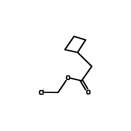 O=C(CC1CCC1)OCCl